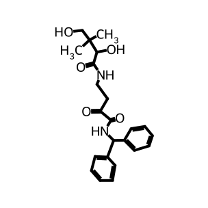 CC(C)(CO)C(O)C(=O)NCCC(=O)C(=O)NC(c1ccccc1)c1ccccc1